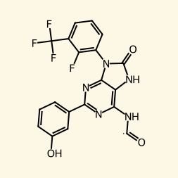 O=[C]Nc1nc(-c2cccc(O)c2)nc2c1[nH]c(=O)n2-c1cccc(C(F)(F)F)c1F